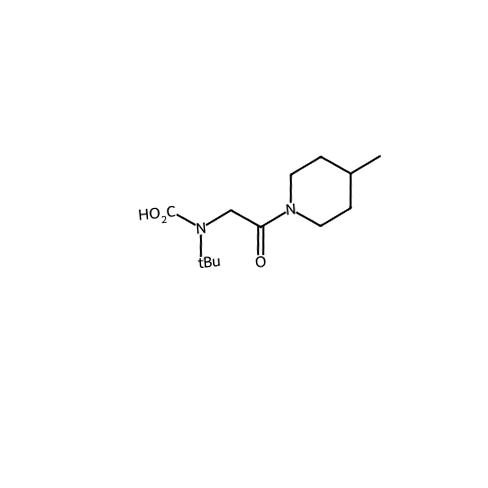 CC1CCN(C(=O)CN(C(=O)O)C(C)(C)C)CC1